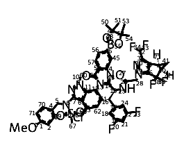 COc1ccc(CN(c2nn(C)c3c(-n4c([C@H](Cc5cc(F)cc(F)c5)NC(=O)Cn5nc(C(F)F)c6c5C(F)(F)[C@@H]5C[C@H]65)nc5cc(B6OC(C)(C)C(C)(C)O6)ccc5c4=O)ccc(Cl)c23)S(C)(=O)=O)cc1